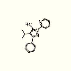 CC(C)c1c(-c2ccccc2)nn(-c2ccccn2)c1O